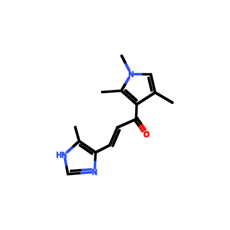 Cc1cn(C)c(C)c1C(=O)C=Cc1nc[nH]c1C